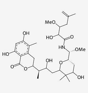 C=C(C)CC(OC)C(O)C(=O)N[C@H](OC)[C@@H]1CC(O)C(C)(C)C(CC(O)[C@@H](C)C2Cc3c(C)c(O)cc(O)c3C(=O)O2)O1